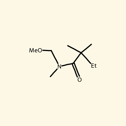 CCC(C)(C)C(=O)N(C)COC